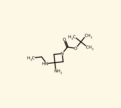 CCNC1(N)CN(C(=O)OC(C)(C)C)C1